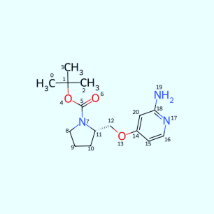 CC(C)(C)OC(=O)N1CCC[C@H]1COc1ccnc(N)c1